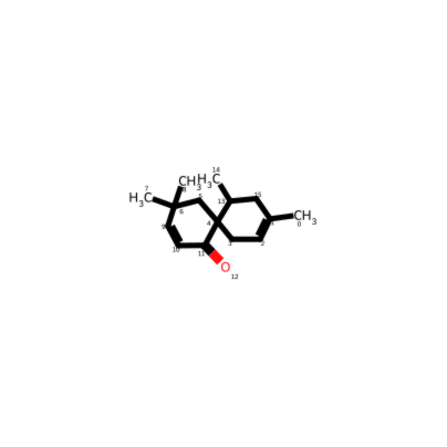 CC1=CCC2(CC(C)(C)C=CC2=O)C(C)C1